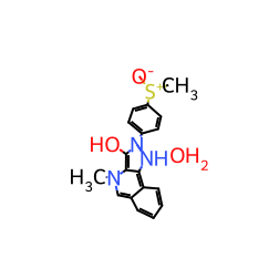 CN1C=c2ccccc2=C2NN(c3ccc([S+](C)[O-])cc3)C(O)=C21.O